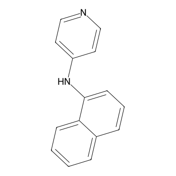 c1ccc2c(Nc3ccncc3)cccc2c1